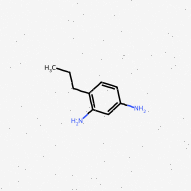 CC[CH]c1ccc(N)cc1N